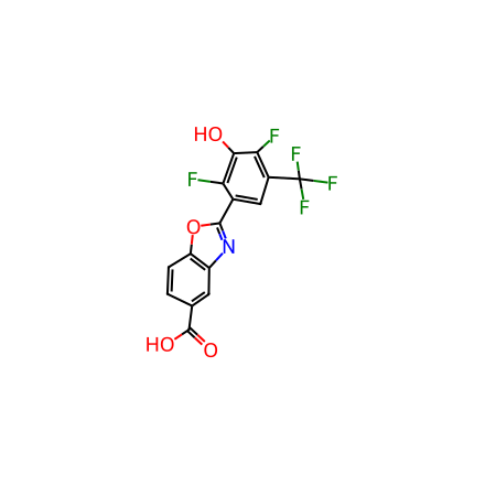 O=C(O)c1ccc2oc(-c3cc(C(F)(F)F)c(F)c(O)c3F)nc2c1